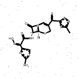 Cc1nnc(C(=S)C2=CN3C(=O)[C@@H](NC(=O)/C(=N\O)c4csc(N)n4)[C@@H]3SC2)s1